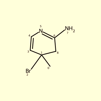 CC1(Br)C=CN=C(N)C1